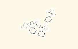 O=S(=O)([O-])c1ccccc1.O=S(=O)([O-])c1ccccc1.O=S(=O)([O-])c1ccccc1.[Hg+].[SH4+2]